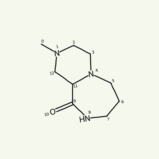 CN1CCN2CCCNC(=O)C2C1